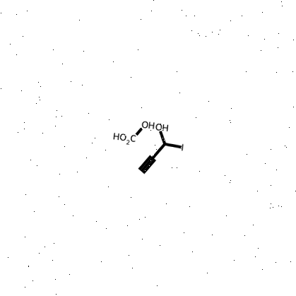 C#CC(O)I.O=C(O)O